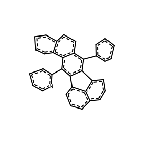 c1ccc(-c2c3c(c(-c4ccccn4)c4c2ccc2ccccc24)-c2cccc4cccc-3c24)cc1